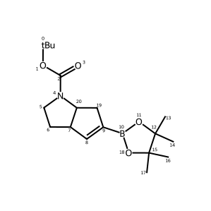 CC(C)(C)OC(=O)N1CCC2C=C(B3OC(C)(C)C(C)(C)O3)CC21